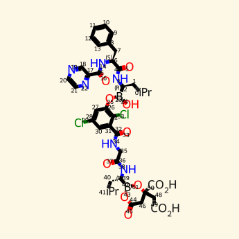 CC(C)C[C@H](NC(=O)[C@H](Cc1ccccc1)NC(=O)c1cnccn1)B(O)Oc1cc(Cl)cc(C(=O)NCC(=O)N[C@@H](CC(C)C)B2OC(=O)CC(CC(=O)O)(C(=O)O)O2)c1Cl